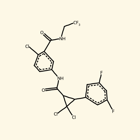 O=C(NCC(F)(F)F)c1cc(NC(=O)C2C(c3cc(F)cc(F)c3)C2(Cl)Cl)ccc1Cl